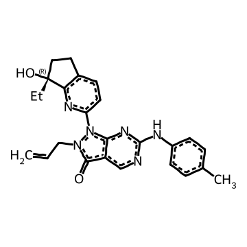 C=CCn1c(=O)c2cnc(Nc3ccc(C)cc3)nc2n1-c1ccc2c(n1)[C@@](O)(CC)CC2